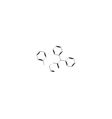 C=C(N[C@H](C=O)Cc1ccccc1)C(c1ccccc1)c1ccccc1